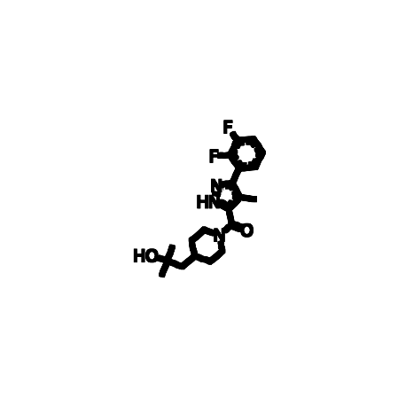 Cc1c(-c2cccc(F)c2F)n[nH]c1C(=O)N1CCC(CC(C)(C)O)CC1